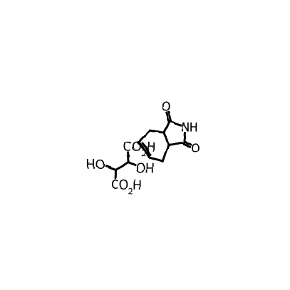 O=C(O)C(O)C(O)C(=O)O.O=C1NC(=O)C2CC=CCC12